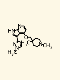 CN1CCC(C)(COc2ccnc3[nH]cc(-c4ccn(C)n4)c23)CC1